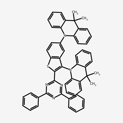 CC1(C)c2ccccc2N(c2ccc3sc(-c4nc(-c5ccccc5)nc(-c5ccccc5)n4)c(N4c5ccccc5C(C)(C)c5ccccc54)c3c2)c2ccccc21